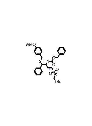 COc1ccc(CSC(c2ccccc2)C(/C=C/S(=O)(=O)OCC(C)(C)C)NC(=O)OCc2ccccc2)cc1